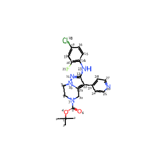 CC(C)(C)OC(=O)N1CCn2nc(Nc3ccc(Cl)cc3F)c(-c3ccncc3)c2C1